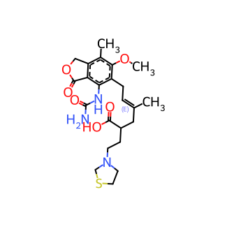 COc1c(C)c2c(c(NC(N)=O)c1C/C=C(\C)CC(CCN1CCSC1)C(=O)O)C(=O)OC2